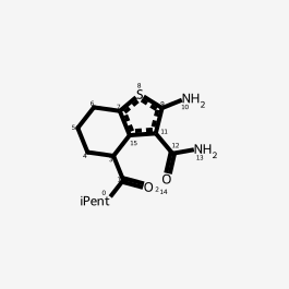 CCCC(C)C(=O)C1CCCc2sc(N)c(C(N)=O)c21